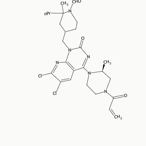 C=CC(=O)N1CCN(c2nc(=O)n(CC3CCN(C=O)C(C)(CCC)C3)c3nc(Cl)c(Cl)cc23)[C@@H](C)C1